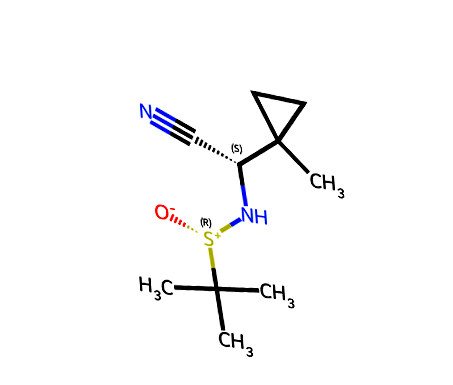 CC1([C@@H](C#N)N[S@@+]([O-])C(C)(C)C)CC1